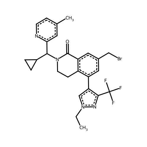 CCn1cc(-c2cc(CBr)cc3c2CCN(C(c2cc(C)ccn2)C2CC2)C3=O)c(C(F)(F)F)n1